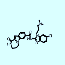 CN(C)CCCn1c(NC(=O)c2ccc3cc4n(c3c2)CCCNC4=O)nc2ccc(Cl)cc21